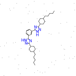 CCCCCC1CCC(c2n[nH]c(-c3cccc(-c4nc(C5CCC(CCCCC)CC5)n[nH]4)c3)n2)CC1